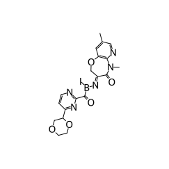 Cc1cnc2c(c1)OCC(=NB(I)C(=O)c1nccc(C3COCCO3)n1)C(=O)N2C